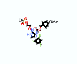 CCS(=O)(=O)OCCO/N=C1\NC[C@@H](c2c(F)cc(F)cc2F)[C@@H]1NC(=O)OCc1ccc(OC)cc1